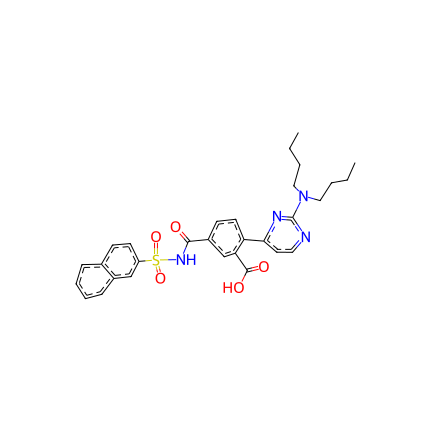 CCCCN(CCCC)c1nccc(-c2ccc(C(=O)NS(=O)(=O)c3ccc4ccccc4c3)cc2C(=O)O)n1